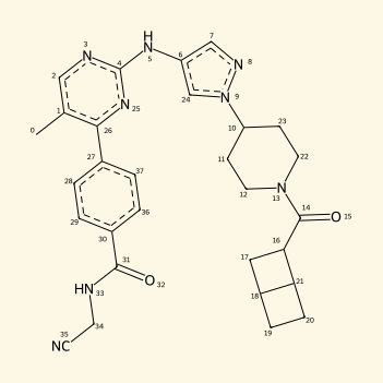 Cc1cnc(Nc2cnn(C3CCN(C(=O)C4CC5CCC54)CC3)c2)nc1-c1ccc(C(=O)NCC#N)cc1